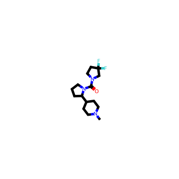 CN1CCC(C2CCCN2C(=O)N2CCC(F)(F)C2)CC1